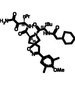 CCC[C@H](NC(=O)[C@@H]1C[C@]2(CC(c3cc(C)c(OC)c(C)c3)=NO2)CN1C(=O)[C@@H](NC(=O)CC1CCCCC1)C(C)(C)C)C(=O)C(N)=O